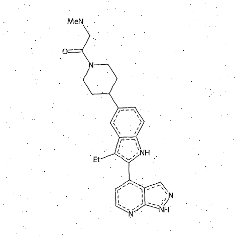 CCc1c(-c2ccnc3[nH]ncc23)[nH]c2ccc(C3CCN(C(=O)CNC)CC3)cc12